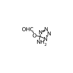 NC1(OC=O)N=NN=N1